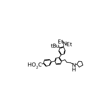 CCN(CC)c1ccc(-c2cc(-c3ccc(C(=O)O)cc3)ccc2CCCNC2CCCC2)cc1C(C)(C)C